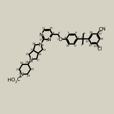 CC(C)(c1ccc(OCc2ccnc(N3CC4CN(C5CCN(C(=O)O)CC5)CC4C3)n2)cc1)c1cc(Cl)cc(C#N)c1